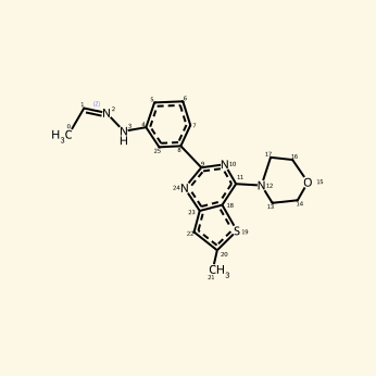 C/C=N\Nc1cccc(-c2nc(N3CCOCC3)c3sc(C)cc3n2)c1